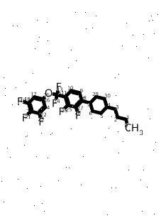 CCCCC1CCC(c2ccc(C(F)(F)Oc3cc(F)c(F)c(F)c3)c(F)c2F)CC1